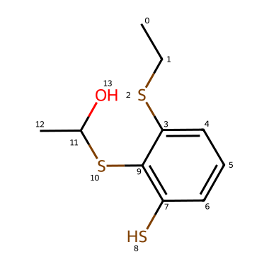 CCSc1cccc(S)c1SC(C)O